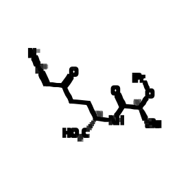 CC(C)O[C@H](C(=O)N[C@@H](CCC(=O)C=[N+]=[N-])C(=O)O)C(C)(C)C